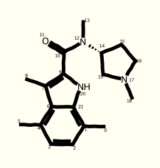 Cc1ccc(C)c2c(C)c(C(=O)N(C)[C@@H]3CCN(C)C3)[nH]c12